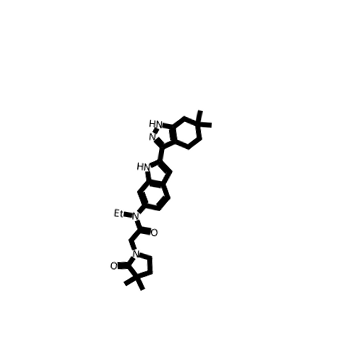 CCN(C(=O)CN1CCC(C)(C)C1=O)c1ccc2cc(-c3n[nH]c4c3CCC(C)(C)C4)[nH]c2c1